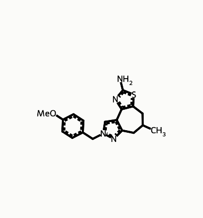 COc1ccc(Cn2cc3c(n2)CC(C)Cc2sc(N)nc2-3)cc1